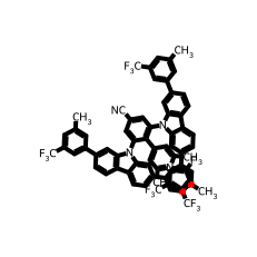 Cc1cc(-c2ccc3c4ccc(-c5cc(C)cc(C(F)(F)F)c5)cc4n(-c4cc(C#N)cc(-n5c6cc(-c7cc(C)cc(C(F)(F)F)c7)ccc6c6ccc(-c7cc(F)cc(C(F)(F)F)c7)cc65)c4-c4cc(C)nc(C)c4)c3c2)cc(C(F)(F)F)c1